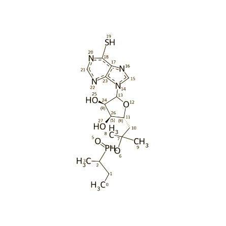 CCC(C)[PH](=O)OC(C)(C)C[C@H]1OC(n2cnc3c(S)ncnc32)[C@H](O)[C@@H]1O